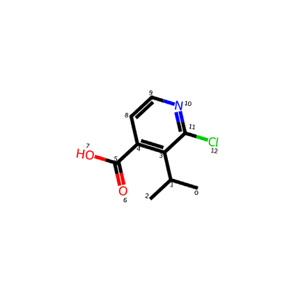 CC(C)c1c(C(=O)O)ccnc1Cl